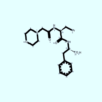 CC(C)C[C@H](NC(=O)CN1CCOCC1)C(=O)N[C@@H](Cc1ccccc1)C(=O)O